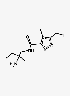 CCC(C)(N)CNC(=O)c1noc(CI)c1C